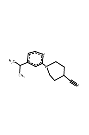 CC(C)c1ccnc(N2CCC(C#N)CC2)c1